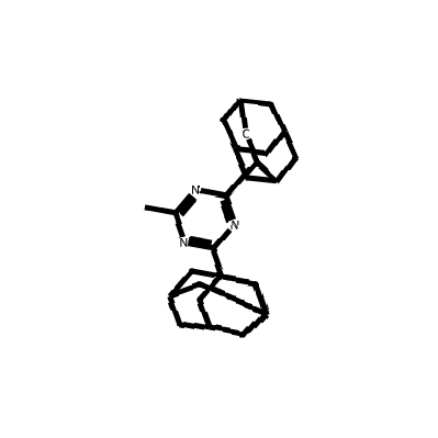 Cc1nc(C2CC3CC4CC(C3)CC2C4)nc(C23CC4CC(CC(C4)C2)C3)n1